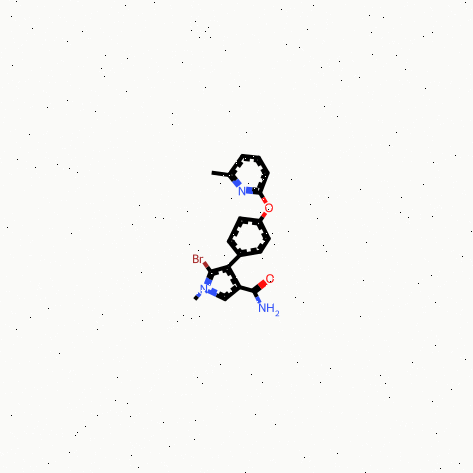 Cc1cccc(Oc2ccc(-c3c(C(N)=O)cn(C)c3Br)cc2)n1